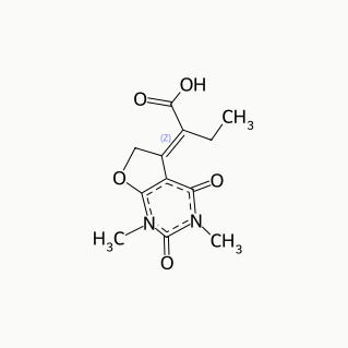 CC/C(C(=O)O)=C1/COc2c1c(=O)n(C)c(=O)n2C